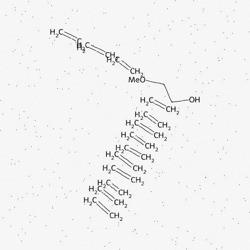 C=C.C=C.C=C.C=C.C=C.C=C.C=C.C=C.C=C.C=C.C=C.C=C.C=C.COCCO